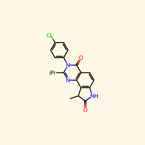 CC(C)c1nc2c3c(ccc2c(=O)n1-c1ccc(Cl)cc1)NC(=O)C3C